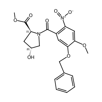 COC(=O)[C@@H]1C[C@@H](O)CN1C(=O)c1cc(OCc2ccccc2)c(OC)cc1[N+](=O)[O-]